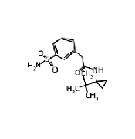 CC(C)(C)C1(NC(=O)Cc2cccc(S(N)(=O)=O)c2)CC1